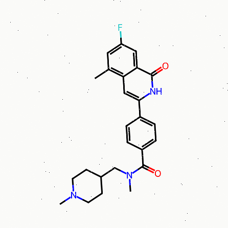 Cc1cc(F)cc2c(=O)[nH]c(-c3ccc(C(=O)N(C)CC4CCN(C)CC4)cc3)cc12